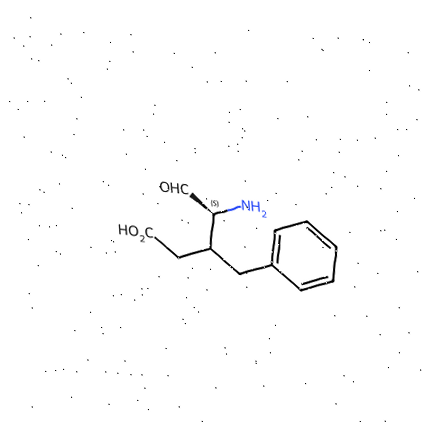 N[C@H](C=O)C(CC(=O)O)Cc1ccccc1